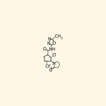 Cc1nnc(NC(=O)c2ccc(C(F)(F)F)c(N3CCCC3=O)c2Cl)o1